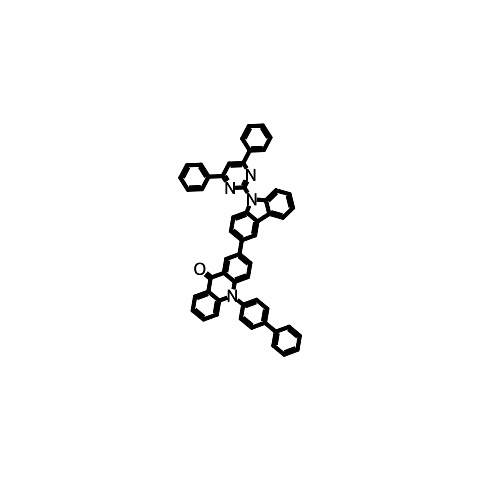 O=c1c2ccccc2n(-c2ccc(-c3ccccc3)cc2)c2ccc(-c3ccc4c(c3)c3ccccc3n4-c3nc(-c4ccccc4)cc(-c4ccccc4)n3)cc12